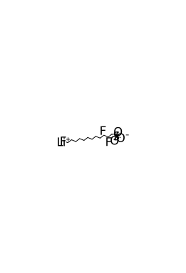 O=S(=O)([O-])CC(F)C(F)CCCCCCCCCF.[Li+]